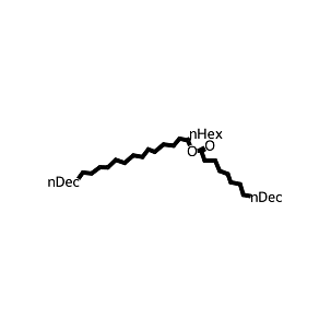 CCCCCCCCCCCCCCCCCCCCCCCC(CCCCCC)OC(=O)CCCCCCCCCCCCCCCCC